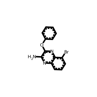 Nc1nc2cccc(Br)c2nc1Oc1ccccc1